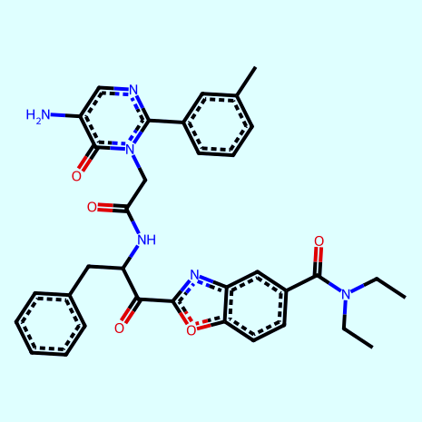 CCN(CC)C(=O)c1ccc2oc(C(=O)C(Cc3ccccc3)NC(=O)Cn3c(-c4cccc(C)c4)ncc(N)c3=O)nc2c1